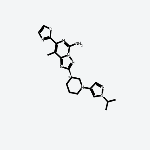 Cc1c(-c2ncco2)nc(N)n2nc([C@@H]3CCCN(c4cnn(C(C)C)c4)C3)nc12